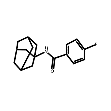 O=C(NC12CC3CC(CC(C3)C1)C2)c1ccc(F)cc1